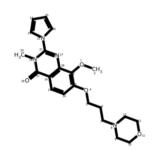 COc1c(OCCCN2CCOCC2)ccc2c(=O)n(C)c(-n3cccc3)nc12